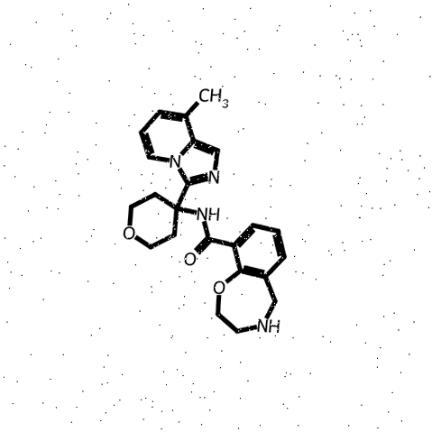 Cc1cccn2c(C3(NC(=O)c4cccc5c4OCCNC5)CCOCC3)ncc12